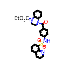 CCOC(=O)N1CCN(C(=O)c2ccc(NS(=O)(=O)c3cccc4cccnc34)cc2)c2ccccc21